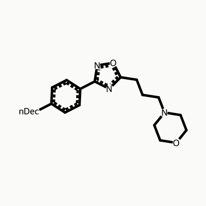 CCCCCCCCCCc1ccc(-c2noc(CCCN3CCOCC3)n2)cc1